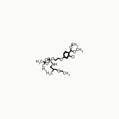 CCOCC(C)CNP(=O)(OCCOc1ccc(C(OC)OC)c(Cl)c1)OC(C)(C)C